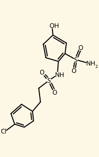 NS(=O)(=O)c1cc(O)ccc1NS(=O)(=O)CCc1ccc(Cl)cc1